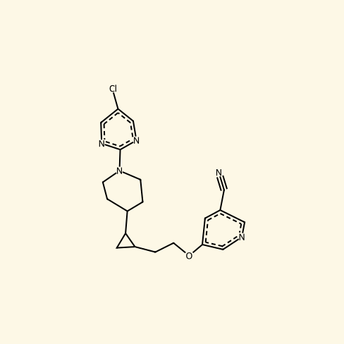 N#Cc1cncc(OCCC2CC2C2CCN(c3ncc(Cl)cn3)CC2)c1